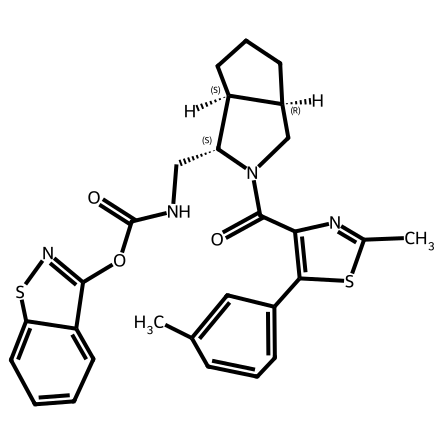 Cc1cccc(-c2sc(C)nc2C(=O)N2C[C@@H]3CCC[C@@H]3[C@H]2CNC(=O)Oc2nsc3ccccc23)c1